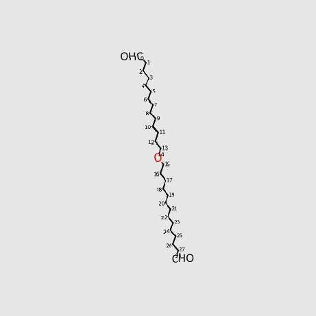 O=CCCCCCCCCCCCCCOCCCCCCCCCCCCCC=O